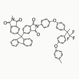 Cc1ccc(Oc2ccc(C(C)(c3ccc(Oc4ccc(N5C(=O)c6ccc(C7(c8ccc9c(c8)C(=O)N(C)C9=O)c8ccccc8-c8ccccc87)cc6C5=O)cc4)cc3)C(F)(F)F)cc2)cc1